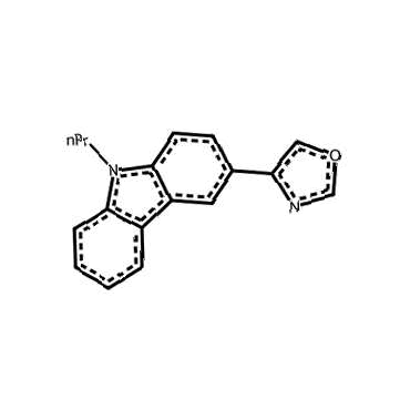 CCCn1c2ccccc2c2cc(-c3cocn3)ccc21